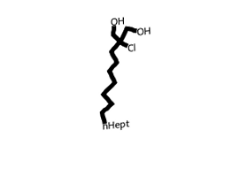 CCCCCCCCCCCCCCC(Cl)(CO)CO